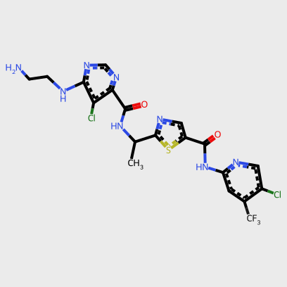 CC(NC(=O)c1ncnc(NCCN)c1Cl)c1ncc(C(=O)Nc2cc(C(F)(F)F)c(Cl)cn2)s1